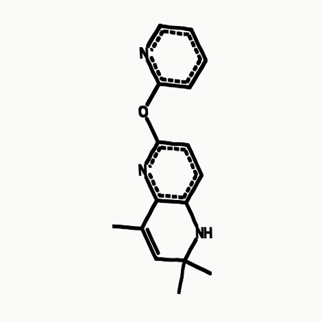 CC1=CC(C)(C)Nc2ccc(Oc3ccccn3)nc21